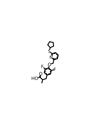 CC(Cc1cc(F)c(OCc2cccc(SC3CCCC3)n2)c(F)c1)C(=O)O